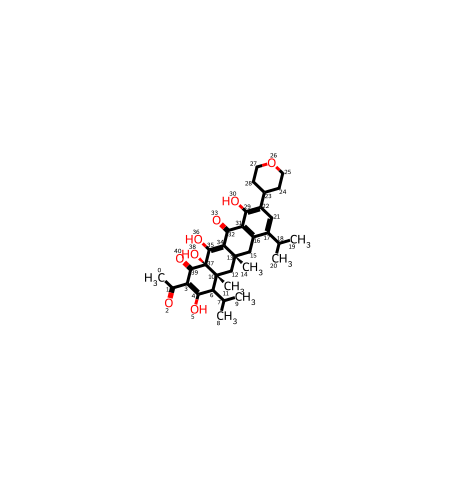 CC(=O)C1=C(O)C(C(C)C)[C@@]2(C)C[C@@]3(C)Cc4c(C(C)C)cc(C5CCOCC5)c(O)c4C(=O)C3=C(O)[C@@]2(O)C1=O